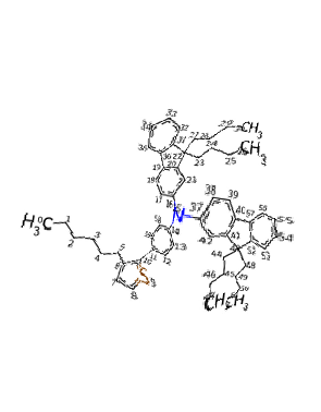 CCCCCCc1ccsc1-c1ccc(N(c2ccc3c(c2)C(CCCC)(CCCC)c2ccccc2-3)c2ccc3c(c2)C(CCCC)(CCCC)c2ccccc2-3)cc1